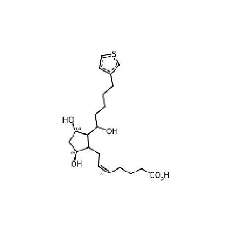 O=C(O)CCC/C=C\CC1C(C(O)CCCCc2ccsc2)[C@H](O)C[C@@H]1O